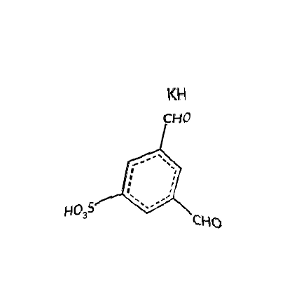 O=Cc1cc(C=O)cc(S(=O)(=O)O)c1.[KH]